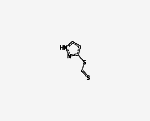 S=CSc1cc[nH]n1